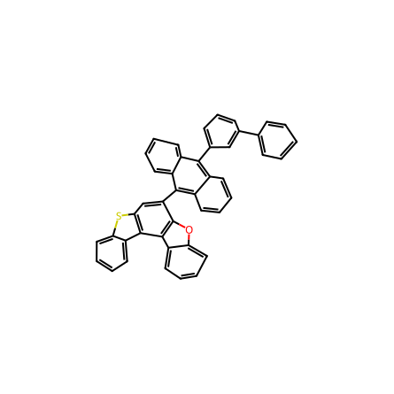 c1ccc(-c2cccc(-c3c4ccccc4c(-c4cc5sc6ccccc6c5c5c4oc4ccccc45)c4ccccc34)c2)cc1